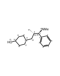 [CH2-][NH2+][C@@H](c1ccccc1)[C@@H](C)CN1CCC(O)CC1